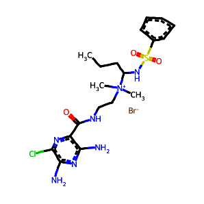 CCCC(NS(=O)(=O)c1ccccc1)[N+](C)(C)CCNC(=O)c1nc(Cl)c(N)nc1N.[Br-]